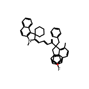 C=C(/C=C/C=C1/N(C)c2ccc3ccccc3c2C12CCCCC2)C(Cc1ccccc1)(Cc1ccc(F)cc1)c1c(C)ccc2ccccc12